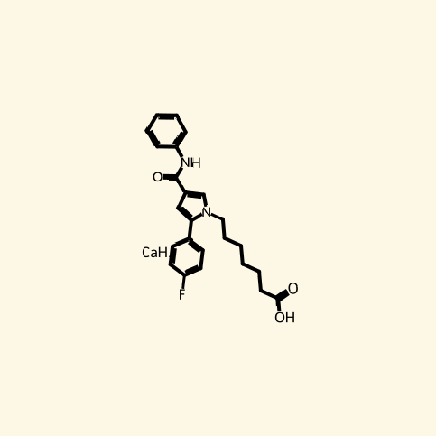 O=C(O)CCCCCCn1cc(C(=O)Nc2ccccc2)cc1-c1ccc(F)cc1.[CaH2]